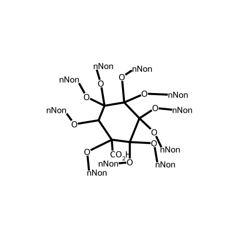 CCCCCCCCCOC1C(OCCCCCCCCC)(OCCCCCCCCC)C(OCCCCCCCCC)(OCCCCCCCCC)C(OCCCCCCCCC)(OCCCCCCCCC)C(OCCCCCCCCC)(OCCCCCCCCC)C1(OCCCCCCCCC)C(=O)O